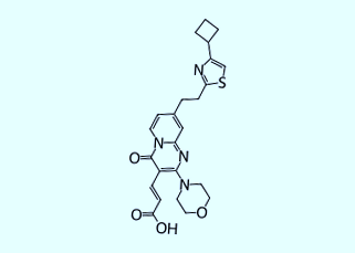 O=C(O)/C=C/c1c(N2CCOCC2)nc2cc(CCc3nc(C4CCC4)cs3)ccn2c1=O